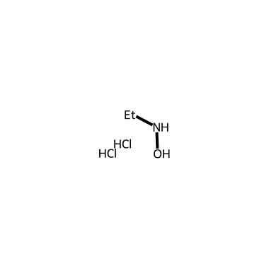 CCNO.Cl.Cl